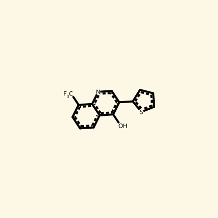 Oc1c(-c2cccs2)cnc2c(C(F)(F)F)cccc12